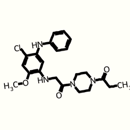 CCC(=O)N1CCN(C(=O)CNc2cc(Nc3ccccc3)c(Cl)cc2OC)CC1